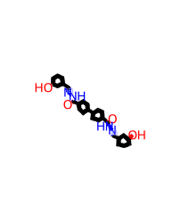 O=C(N/N=C/c1cccc(O)c1)c1ccc(-c2ccc(C(=O)N/N=C/c3cccc(O)c3)cc2)cc1